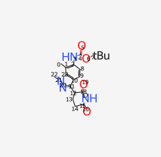 Cc1c(NC(=O)OC(C)(C)C)ccc2c(C3CCC(=O)NC3=O)nn(C)c12